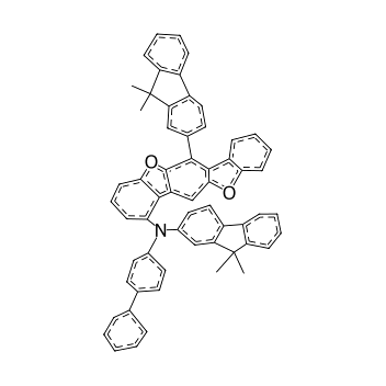 CC1(C)c2ccccc2-c2ccc(-c3c4oc5cccc(N(c6ccc(-c7ccccc7)cc6)c6ccc7c(c6)C(C)(C)c6ccccc6-7)c5c4cc4oc5ccccc5c34)cc21